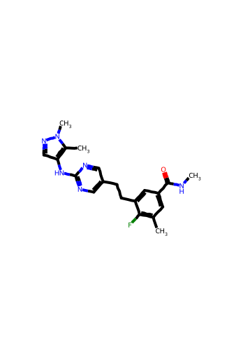 CNC(=O)c1cc(C)c(F)c(CCc2cnc(Nc3cnn(C)c3C)nc2)c1